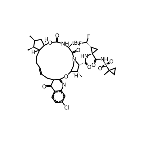 C[C@@H]1[C@@H]2CN(C(=O)[C@H](C(C)(C)C)NC(=O)O[C@@H]3C[C@H](C)[C@H](C)[C@H]3CC/C=C/CC3C(=O)c4ccc(Cl)cc4N=C3O2)[C@@H]1C(=O)N[C@]1(C(=O)NS(=O)(=O)C2(C)CC2)C[C@H]1C(F)F